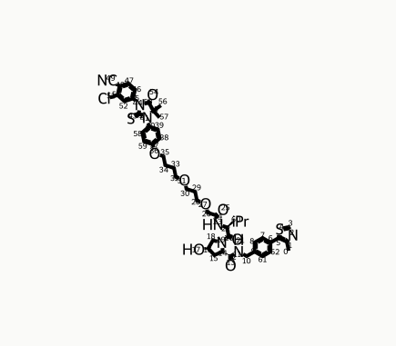 Cc1ncsc1-c1ccc(CNC(=O)[C@@H]2C[C@@H](O)CN2C(=O)[C@@H](NC(=O)COCCCOCCCCOc2ccc(N3C(=S)N(c4ccc(C#N)c(Cl)c4)C(=O)C3(C)C)cc2)C(C)C)cc1